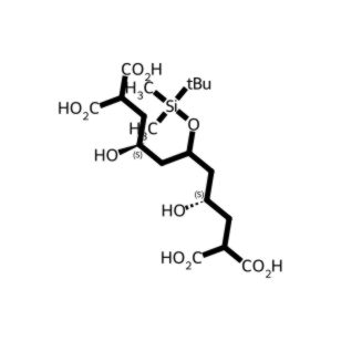 CC(C)(C)[Si](C)(C)OC(C[C@@H](O)CC(C(=O)O)C(=O)O)C[C@@H](O)CC(C(=O)O)C(=O)O